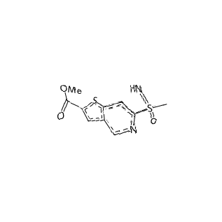 COC(=O)c1cc2cnc(S(C)(=N)=O)cc2s1